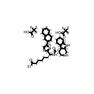 CCC(=O)CCCCC[C@H](NC(=O)[C@H]1CNCc2[nH]c3ccccc3c21)c1ncc(-c2ccc3ccccc3c2)[nH]1.O=C(O)C(F)(F)F.O=C(O)C(F)(F)F